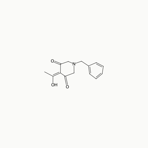 CC(O)=C1C(=O)CN(Cc2ccccc2)CC1=O